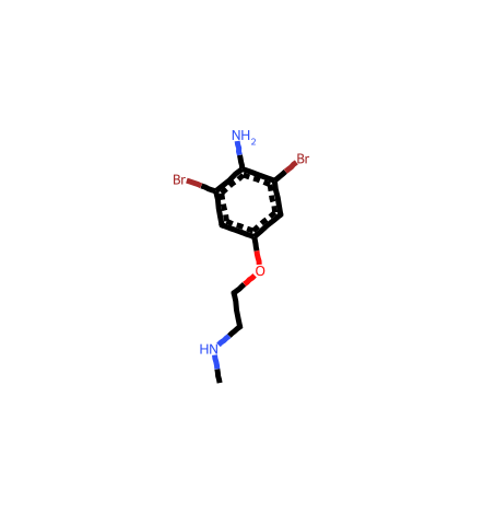 CNCCOc1cc(Br)c(N)c(Br)c1